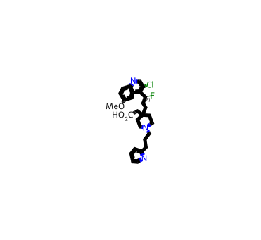 COc1ccc2ncc(Cl)c([C@H](F)CCC3(CC(=O)O)CCN(CCCc4ccccn4)CC3)c2c1